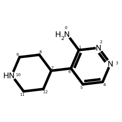 Nc1nnccc1C1CCNCC1